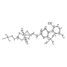 CC(C)(C)CCN1C[C@H]2C[C@H](COc3cc(C(F)(F)F)c(-c4cc(F)ccc4Cl)nn3)C[C@H]2C1